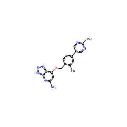 COc1ncc(-c2ccc(COc3cc(N)nc4[nH]nnc34)c(C#N)c2)cn1